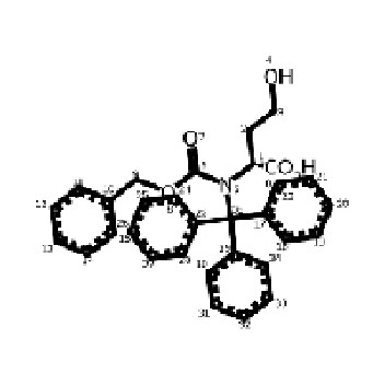 O=C(O)[C@H](CCO)N(C(=O)OCc1ccccc1)C(c1ccccc1)(c1ccccc1)c1ccccc1